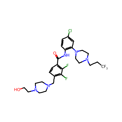 O=C(Nc1ccc(Cl)cc1N1CCN(CCC(F)(F)F)CC1)c1ccc(CN2CCN(CCO)CC2)c(F)c1F